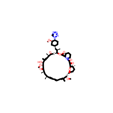 CO[C@H]1C[C@@H]2CC[C@@H](C)[C@@](C)(O2)C(=O)C(=O)N2CCCC[C@H]2C(=O)O[C@H]([C@H](C)C[C@@H]2CC[C@H](n3cnnn3)[C@H](OC)C2)CC(=O)[C@H](C)/C=C(\C)[C@@H](O)[C@@H](OC)C(=O)[C@H](C)C[C@H](C)/C=C/C=C/C=C/1C